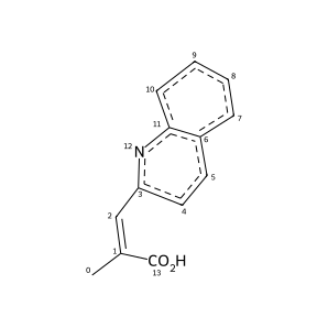 C/C(=C/c1ccc2ccccc2n1)C(=O)O